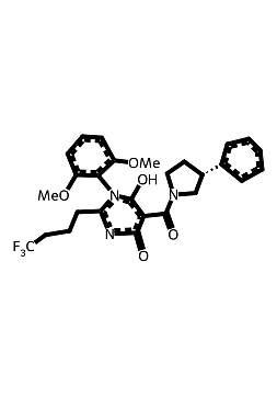 COc1cccc(OC)c1-n1c(CCCC(F)(F)F)nc(=O)c(C(=O)N2CC[C@H](c3ccccc3)C2)c1O